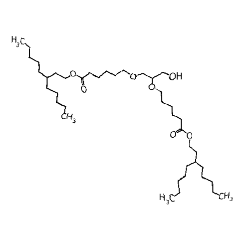 CCCCCC(CCCCC)CCOC(=O)CCCCCOCC(CO)OCCCCCC(=O)OCCC(CCCCC)CCCCC